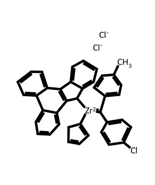 Cc1ccc(/[C](c2ccc(Cl)cc2)=[Zr+2](/[C]2=CC=CC2)[CH]2c3ccccc3-c3c2c2ccccc2c2ccccc32)cc1.[Cl-].[Cl-]